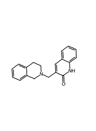 O=c1[nH]c2ccccc2cc1CN1CCc2ccccc2C1